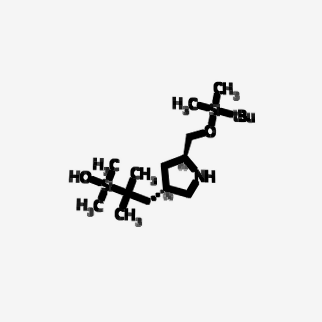 CC(C)(C[C@H]1CN[C@H](CO[Si](C)(C)C(C)(C)C)C1)[Si](C)(C)O